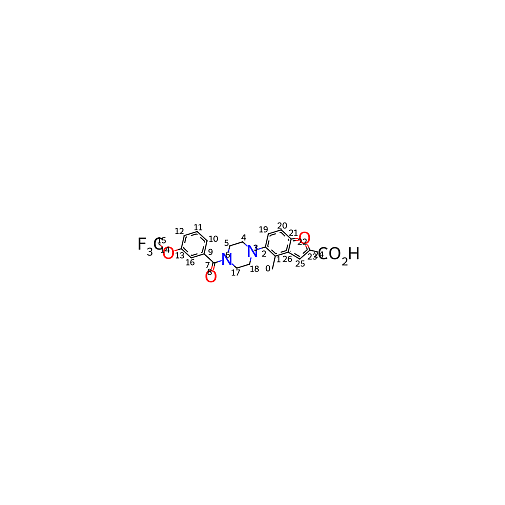 Cc1c(N2CCN(C(=O)c3cccc(OC(F)(F)F)c3)CC2)ccc2oc(C(=O)O)cc12